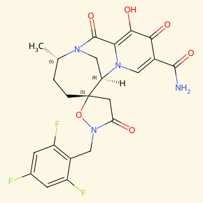 C[C@H]1CC[C@]2(CC(=O)N(Cc3c(F)cc(F)cc3F)O2)[C@H]2CN1C(=O)c1c(O)c(=O)c(C(N)=O)cn12